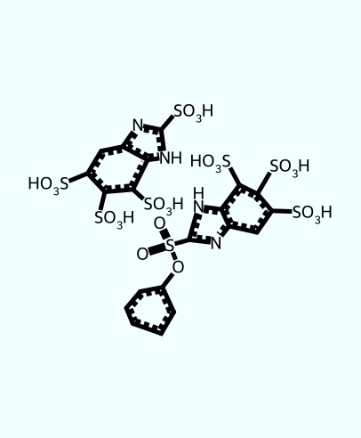 O=S(=O)(O)c1cc2nc(S(=O)(=O)Oc3ccccc3)[nH]c2c(S(=O)(=O)O)c1S(=O)(=O)O.O=S(=O)(O)c1nc2cc(S(=O)(=O)O)c(S(=O)(=O)O)c(S(=O)(=O)O)c2[nH]1